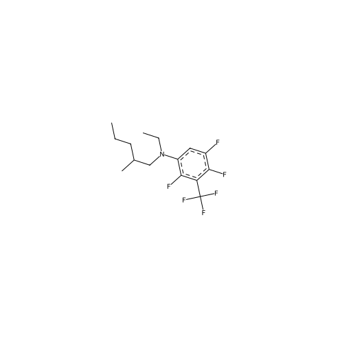 CCCC(C)CN(CC)c1cc(F)c(F)c(C(F)(F)F)c1F